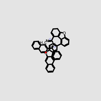 C/N=C(\N=C(\c1ccccc1)c1ccc2ccccc2c1)C1=CCCc2oc3cccc(-c4ccc5oc6cc7ccccc7cc6c5c4)c3c21